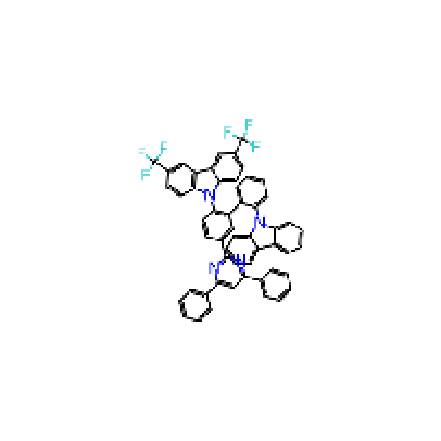 FC(F)(F)c1ccc2c(c1)c1cc(C(F)(F)F)ccc1n2-c1ccc(-c2nc(-c3ccccc3)cc(-c3ccccc3)n2)cc1-c1ccccc1-n1c2ccccc2c2ccccc21